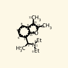 CCN(CC)C(C)c1cccc2c(C)c(C)oc12